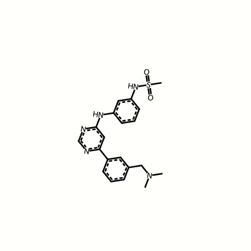 CN(C)Cc1cccc(-c2cc(Nc3cccc(NS(C)(=O)=O)c3)ncn2)c1